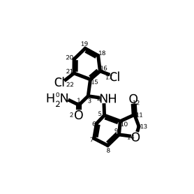 NC(=O)C(Nc1cccc2c1C(=O)CO2)c1c(Cl)cccc1Cl